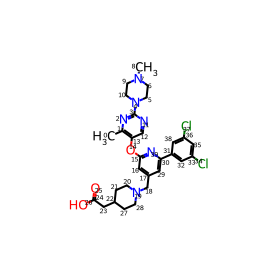 Cc1nc(N2CCN(C)CC2)ncc1Oc1cc(CN2CCC(CC(=O)O)CC2)cc(-c2cc(Cl)cc(Cl)c2)n1